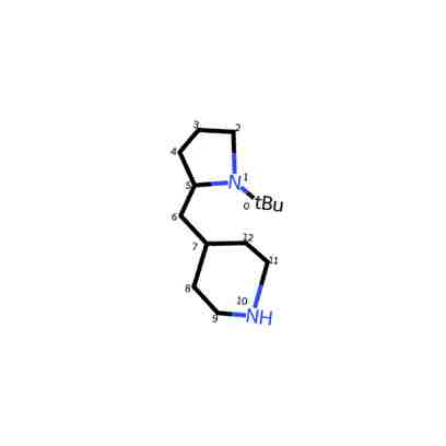 CC(C)(C)N1CCCC1CC1CCNCC1